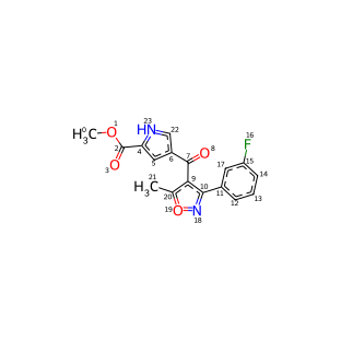 COC(=O)c1cc(C(=O)c2c(-c3cccc(F)c3)noc2C)c[nH]1